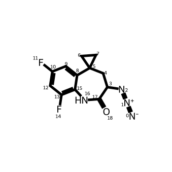 [N-]=[N+]=NC1CC2(CC2)c2cc(F)cc(F)c2NC1=O